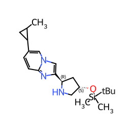 CC1CC1c1ccc2nc([C@H]3C[C@H](O[Si](C)(C)C(C)(C)C)CN3)cn2c1